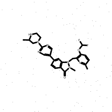 Cc1ccc(OC(F)F)c(Cn2c3cc(-c4cnc(N5CCNC(C)C5)nc4)ccc3c(=O)n2C)n1